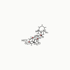 O=C(O)Cc1ccc(O[C@H]2C[C@H]3CCC[C@@H](C2)N3C(=O)NCc2ccc(Cl)cc2Cl)c(Cl)c1